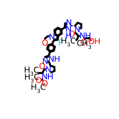 COC(=O)N[C@H](C(=O)N1CCCC1c1ncc(-c2ccc3c(c2)OCCn2c-3c(F)c3cc(-c4cnc([C@@H]5CCCN5C(=O)C(NC(=O)CO)C(C)C)[nH]4)ccc32)[nH]1)C(C)C